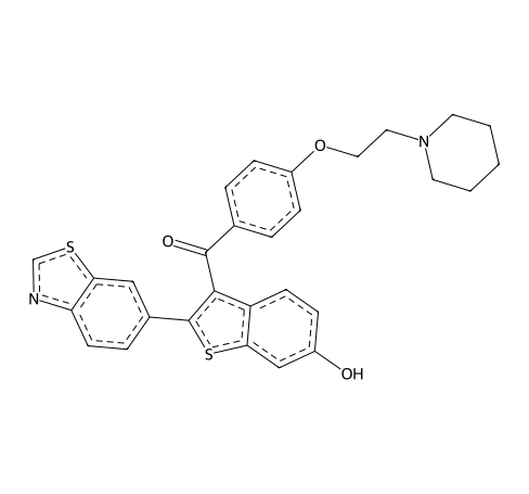 O=C(c1ccc(OCCN2CCCCC2)cc1)c1c(-c2ccc3ncsc3c2)sc2cc(O)ccc12